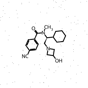 CN(C(=O)c1ccc(C#N)cc1)[C@H](CN1CC(O)C1)C1CCCCC1